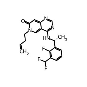 C=CCCn1cc2c(N[C@H](C)c3cccc(C(F)F)c3F)ncnc2cc1=O